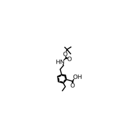 CCc1ccc(CCNC(=O)OC(C)(C)C)cc1C(=O)O